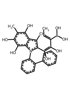 C/C=C(B(O)O)/C(O)=C(/O)c1c(C)c2c(O)c(C)c(O)c(O)c2n1-c1ccccc1-c1ccccc1